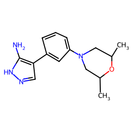 CC1CN(c2cccc(-c3cn[nH]c3N)c2)CC(C)O1